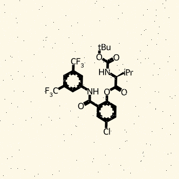 CC(C)[C@H](NC(=O)OC(C)(C)C)C(=O)Oc1ccc(Cl)cc1C(=O)Nc1cc(C(F)(F)F)cc(C(F)(F)F)c1